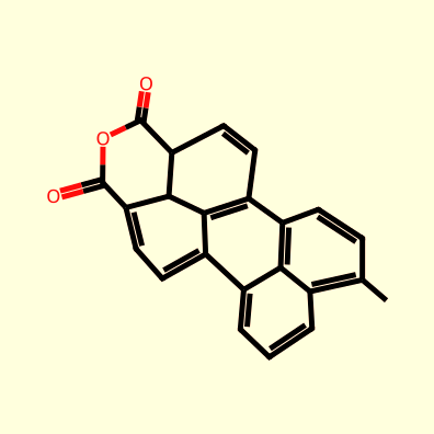 Cc1ccc2c3c4c(c5cccc1c25)=CC=C1C(=O)OC(=O)C(C=C3)C14